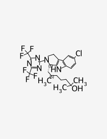 C[C@@H](CCCC(C)(C)O)C[C@H]1c2[nH]c3ccc(Cl)cc3c2CCN1c1nc(C(F)(F)F)nc(C(F)(F)F)n1